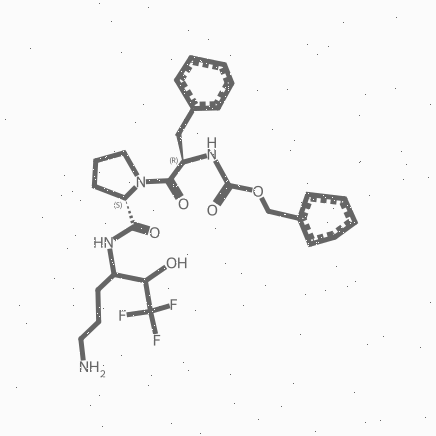 NCCCC(NC(=O)[C@@H]1CCCN1C(=O)[C@@H](Cc1ccccc1)NC(=O)OCc1ccccc1)C(O)C(F)(F)F